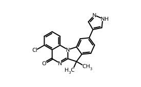 CC1(C)c2ccc(-c3cn[nH]c3)cc2-n2c1nc(=O)c1c(Cl)cccc12